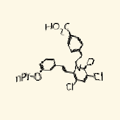 CCCOc1cccc(C=Cc2c(Cl)cc(Cl)c(=O)n2CCc2ccc(C(=O)O)cc2)c1